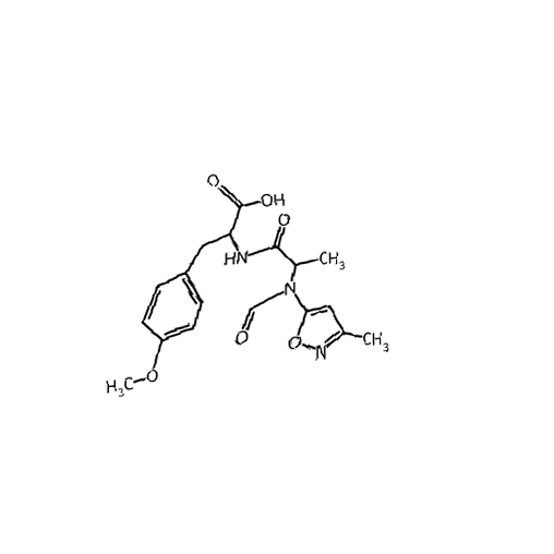 COc1ccc(CC(NC(=O)C(C)N(C=O)c2cc(C)no2)C(=O)O)cc1